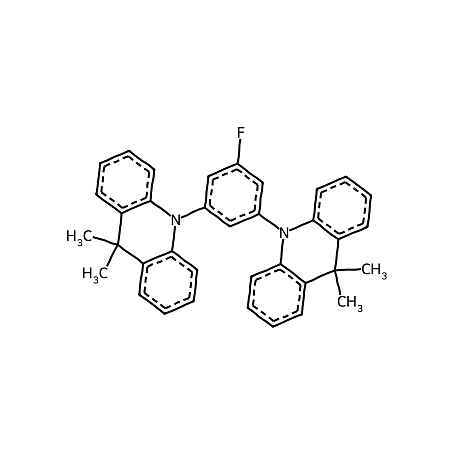 CC1(C)c2ccccc2N(c2cc(F)cc(N3c4ccccc4C(C)(C)c4ccccc43)c2)c2ccccc21